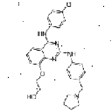 OCCOc1cccc2c(Nc3ccc(Cl)cc3)nc(Nc3ccc(CN4CCCC4)cc3)nc12